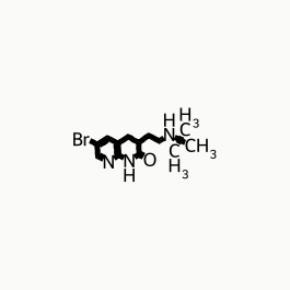 CC(C)(C)NCCC1Cc2cc(Br)cnc2NC1=O